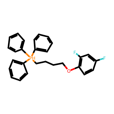 Fc1ccc(OCCCC[PH](c2ccccc2)(c2ccccc2)c2ccccc2)c(F)c1